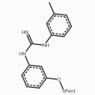 CCCCCOc1cccc(NC(=N)Nc2cccc(C)c2)c1